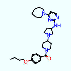 CCCCOc1ccc(C(=O)N2CCC(N3CCC(Nc4nccc(N5CCCCCC5)n4)C3)CC2)cc1